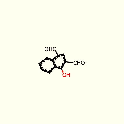 O=Cc1cc(C=O)c2ccccc2c1O